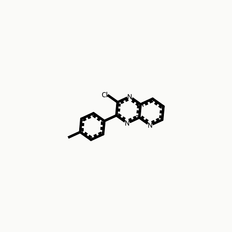 Cc1ccc(-c2nc3ncccc3nc2Cl)cc1